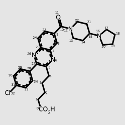 O=C(O)CCCCc1nc2cc(C(=O)N3CCC(N4CCCC4)CC3)ccc2nc1-c1ccc(Cl)cc1